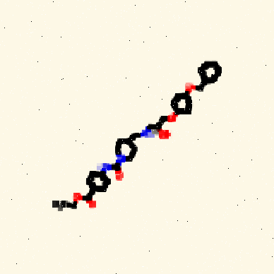 CCOC(=O)c1ccc(NC(=O)N2CCC(CNC[C@H](O)COc3ccc(OCc4ccccc4)cc3)CC2)cc1